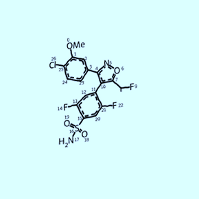 COc1cc(-c2noc(CF)c2-c2cc(F)c(S(N)(=O)=O)cc2F)ccc1Cl